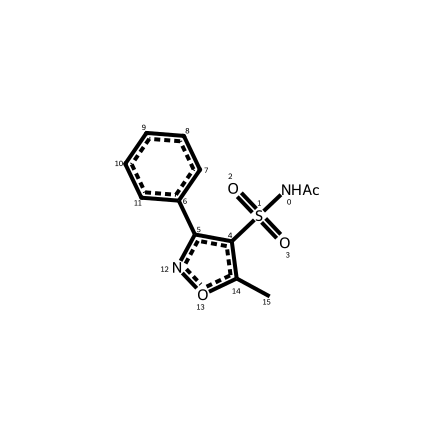 CC(=O)NS(=O)(=O)c1c(-c2ccccc2)noc1C